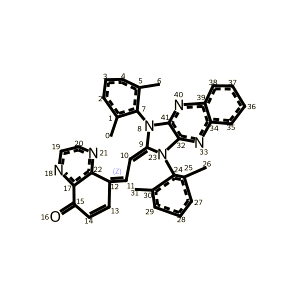 Cc1cccc(C)c1N1C(=C/C=C2/C=CC(=O)c3nccnc32)N(c2c(C)cccc2C)c2nc3ccccc3nc21